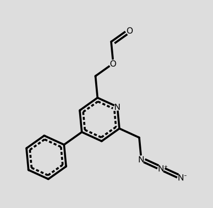 [N-]=[N+]=NCc1cc(-c2ccccc2)cc(COC=O)n1